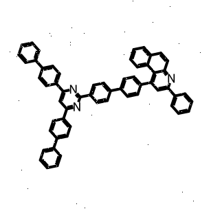 c1ccc(-c2ccc(-c3cc(-c4ccc(-c5ccccc5)cc4)nc(-c4ccc(-c5ccc(-c6cc(-c7ccccc7)nc7ccc8ccccc8c67)cc5)cc4)n3)cc2)cc1